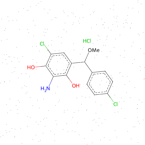 COC(c1ccc(Cl)cc1)c1cc(Cl)c(O)c(N)c1O.Cl